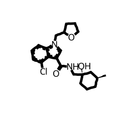 C[C@H]1CCC[C@@](O)(CNC(=O)c2cn(CC3CCCO3)c3cccc(Cl)c23)C1